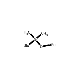 CC(C)(C)O[Si](C)(C)C(C)(C)C